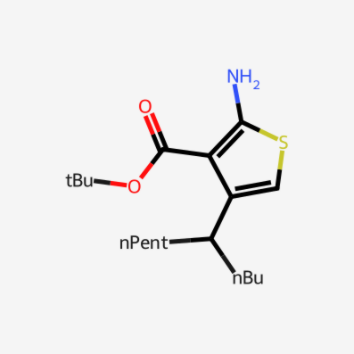 CCCCCC(CCCC)c1csc(N)c1C(=O)OC(C)(C)C